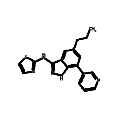 CCCc1cc(-c2cccnc2)c2[nH]nc(Nc3nccs3)c2c1